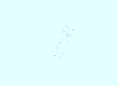 C#CCN(NC(=O)c1ccc(C(F)=CC(c2cc(Cl)c(Cl)c(Cl)c2)C(F)(F)F)cc1C(F)(F)F)c1ncccn1